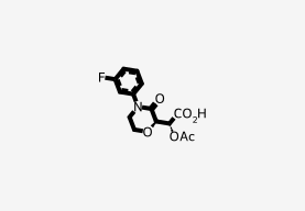 CC(=O)O[C@@H](C(=O)O)[C@H]1OCCN(c2cccc(F)c2)C1=O